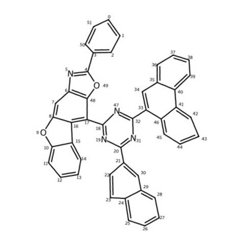 c1ccc(-c2nc3cc4oc5ccccc5c4c(-c4nc(-c5ccc6ccccc6c5)nc(-c5cc6ccccc6c6ccccc56)n4)c3o2)cc1